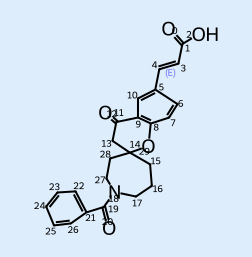 O=C(O)/C=C/c1ccc2c(c1)C(=O)CC1(CCCN(C(=O)c3ccccc3)CC1)O2